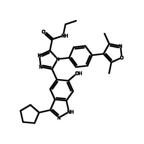 CCNC(=O)c1nnc(-c2cc3c(C4CCCC4)n[nH]c3cc2O)n1-c1ccc(-c2c(C)noc2C)cc1